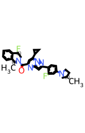 C[C@H]1CCN(c2ccc(-c3cc4nc(C(=O)N5C[C@@H](F)c6ccccc6[C@H]5C)cc(C5CC5)n4n3)c(F)c2)C1